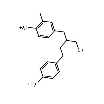 Cc1cc(CC(CO)CCc2ccc(C(=O)O)cc2)ccc1C(=O)O